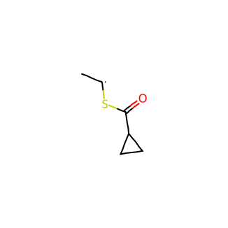 C[CH]SC(=O)C1CC1